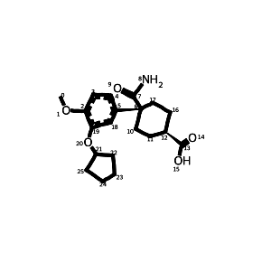 COc1ccc([C@]2(C(N)=O)CC[C@H](C(=O)O)CC2)cc1OC1CCCC1